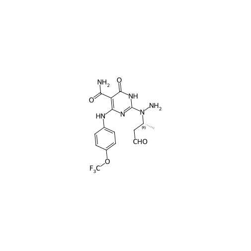 C[C@H](CC=O)N(N)c1nc(Nc2ccc(OC(F)(F)F)cc2)c(C(N)=O)c(=O)[nH]1